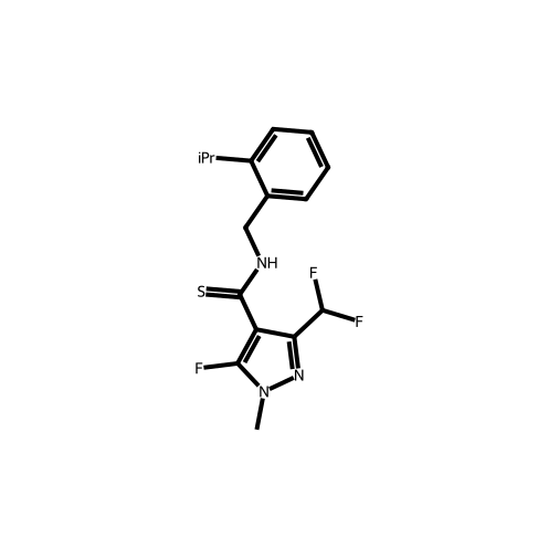 CC(C)c1ccccc1CNC(=S)c1c(C(F)F)nn(C)c1F